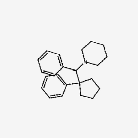 c1ccc(C(N2CCCCC2)C2(c3ccccc3)CCCC2)cc1